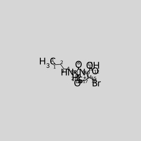 CCCCCN[C@@H]1C(=O)N2C(C(=O)O)=C(CBr)C[S+]([O-])[C@H]12